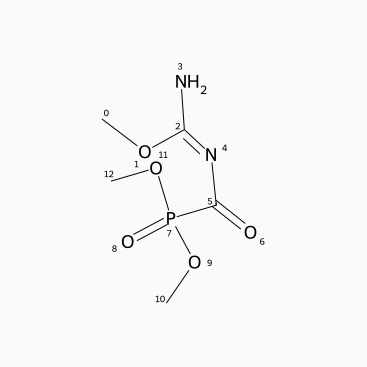 CO/C(N)=N\C(=O)P(=O)(OC)OC